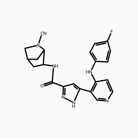 N#CN1CC2CC(NC(=O)c3cc(-c4cnccc4Nc4ccc(F)cc4)[nH]n3)C1C2